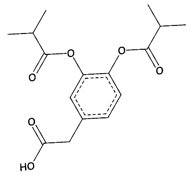 CC(C)C(=O)Oc1ccc(CC(=O)O)cc1OC(=O)C(C)C